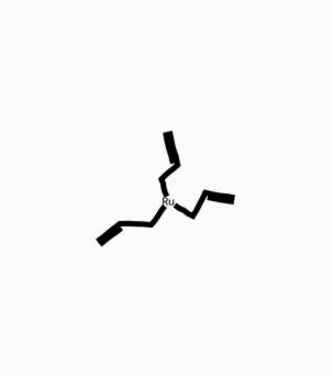 C=C[CH2][Ru]([CH2]C=C)[CH2]C=C